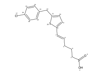 O=C(O)CCC/C=C/c1ccc(Cc2ccc(Cl)cc2)s1